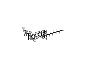 CCCCCCCCCCNS(=O)(=O)c1cc(Oc2c(C)cc(NC(=O)C(=O)OCC)cc2Cl)ccc1O